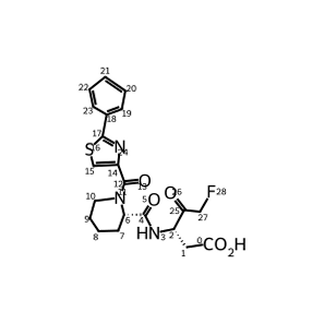 O=C(O)C[C@H](NC(=O)[C@@H]1CCCCN1C(=O)c1csc(-c2ccccc2)n1)C(=O)CF